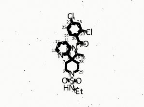 CCNS(=O)(=O)N1CCC(c2ccccn2)(C(C)NC(=O)c2ccc(Cl)cc2Cl)CC1